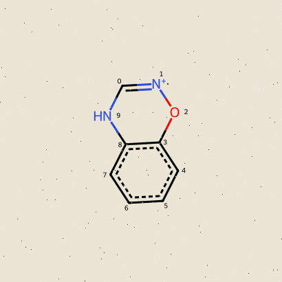 C1=[N+]Oc2ccccc2N1